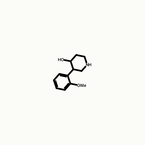 COc1ccccc1C1CNCCC1O